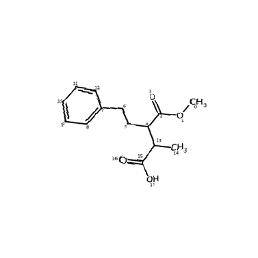 COC(=O)C(CCc1ccccc1)C(C)C(=O)O